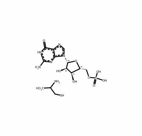 NC(CS)C(=O)O.Nc1nc2c(ncn2[C@@H]2O[C@H](COP(=O)(O)O)[C@@H](O)[C@H]2O)c(=O)[nH]1